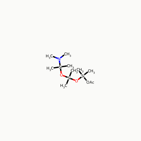 CC(=O)O[Si](C)(C)O[Si](C)(C)O[Si](C)(C)N(C)C